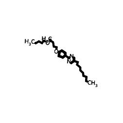 CCCCCCCCCc1cnc(-c2ccc(OCCCC(C)OCCCCC)cc2)nc1